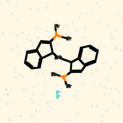 CC(C)P(C1=Cc2ccccc2[CH]1[Zr+2][CH]1C(P(C(C)C)C(C)C)=Cc2ccccc21)C(C)C.[F-].[F-]